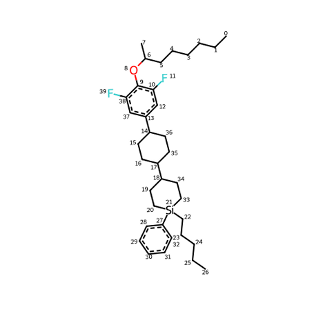 CCCCCCC(C)Oc1c(F)cc(C2CCC(C3CC[Si](CCCCC)(c4ccccc4)CC3)CC2)cc1F